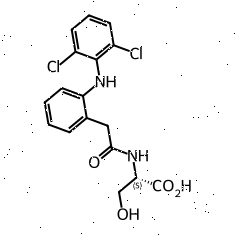 O=C(Cc1ccccc1Nc1c(Cl)cccc1Cl)N[C@@H](CO)C(=O)O